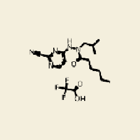 CCCCCC(=O)N(CC(C)C)Nc1ccnc(C#N)n1.O=C(O)C(F)(F)F